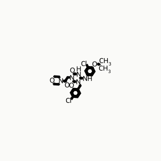 CC(C)Oc1ccc(NC2NC(=O)N(CC(=O)N3CCOCC3)C(=O)N2Cc2ccc(Cl)cc2)cc1Cl